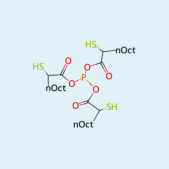 CCCCCCCCC(S)C(=O)OP(OC(=O)C(S)CCCCCCCC)OC(=O)C(S)CCCCCCCC